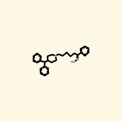 ON=C(CCCCCN1CCC(C(c2ccccc2)c2ccccc2)CC1)c1ccccc1